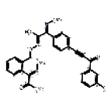 CO/N=C(/C(C)=N/OCc1ccccc1/C(=N\OC)C(=O)OC)c1ccc(C#CC(=O)c2cccc(Cl)c2)cc1